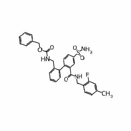 Cc1ccc(CNC(=O)c2cc(S(N)(=O)=O)ccc2-c2ccccc2CNC(=O)OCc2ccccc2)c(F)c1